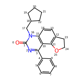 O=c1nc(-c2ccccc2)c2c3c(ccc2n1CC1CCCC1)CCO3